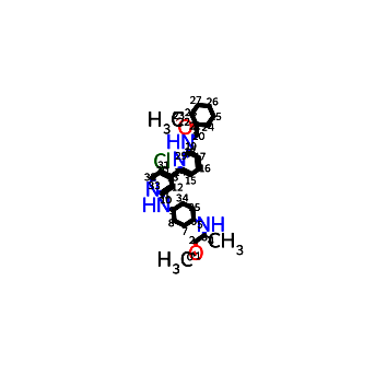 COC[C@@H](C)N[C@H]1CC[C@H](Nc2cc(-c3cccc(NCC4(OC)CCCCC4)n3)c(Cl)cn2)CC1